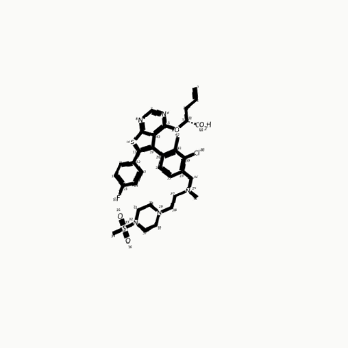 C=CC[C@@H](Oc1ncnc2sc(-c3ccc(F)cc3)c(-c3ccc(CN(C)CCN4CCN(S(C)(=O)=O)CC4)c(Cl)c3C)c12)C(=O)O